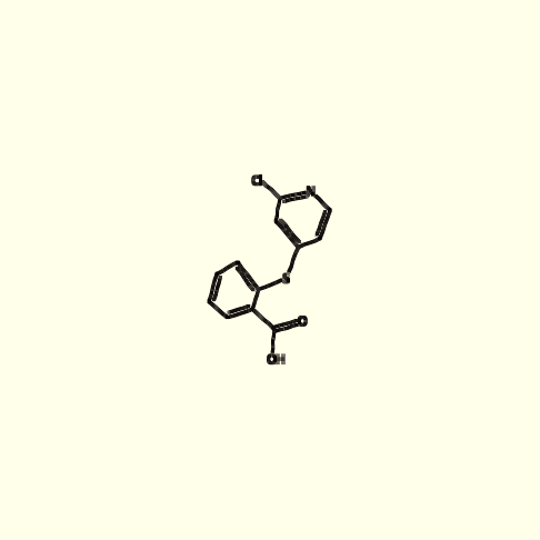 O=C(O)c1ccccc1Sc1ccnc(Cl)c1